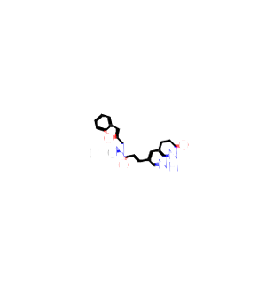 CN(Cc1cc2ccccc2o1)C(=O)C=Cc1cnc2c(c1)CCC(=O)N2